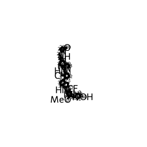 COc1nc(N[C@@H]2CCc3c(-c4cccc(Nc5nccc6cc(CNC[C@@H]7CCC(=O)N7)cnc56)c4Cl)cccc32)c(C(F)(F)F)nc1CN1CC[C@@H](O)C1